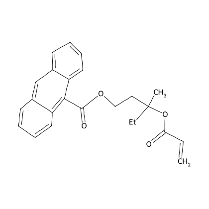 C=CC(=O)OC(C)(CC)CCOC(=O)c1c2ccccc2cc2ccccc12